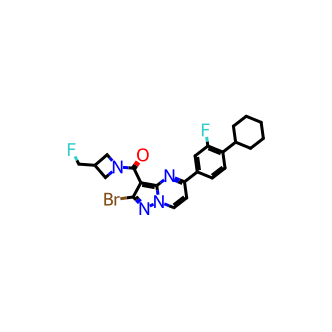 O=C(c1c(Br)nn2ccc(-c3ccc(C4CCCCC4)c(F)c3)nc12)N1CC(CF)C1